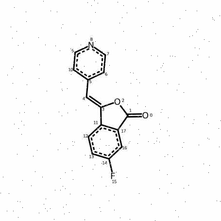 O=C1OC(=Cc2ccncc2)c2ccc(F)cc21